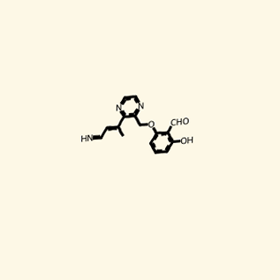 C/C(=C\C=N)c1nccnc1COc1cccc(O)c1C=O